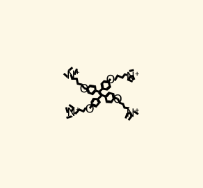 CC[N+](CC)(CC)CCCCOc1ccc(C(=C(c2ccc(OCCCC[N+](CC)(CC)CC)cc2)c2ccc(OCCCC[N+](CC)(CC)CC)cc2)c2ccc(OCCCC[N+](CC)(CC)CC)cc2)cc1